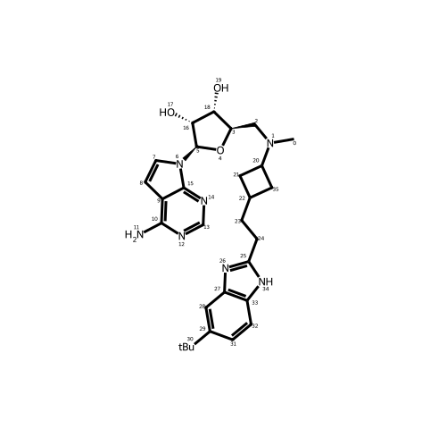 CN(C[C@H]1O[C@@H](n2ccc3c(N)ncnc32)[C@H](O)[C@@H]1O)C1CC(CCc2nc3cc(C(C)(C)C)ccc3[nH]2)C1